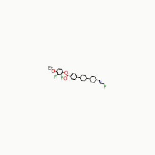 CCOc1ccc(OC(=O)c2ccc(C3CCC(C4CCC(/C=C/CF)CC4)CC3)cc2)c(F)c1F